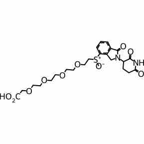 O=C(O)COCCOCCOCCOCC[S+]([O-])c1cccc2c1CN(C1CCC(=O)NC1=O)C2=O